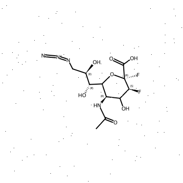 CC(=O)N[C@H]1C([C@H](O)[C@H](O)CN=[N+]=[N-])O[C@@](F)(C(=O)O)[C@@H](F)C1O